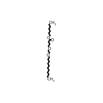 CCCCCCCCCCCOCCOCCCC(=O)OCCCCCCC